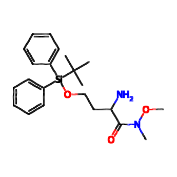 CON(C)C(=O)C(N)CCO[Si](c1ccccc1)(c1ccccc1)C(C)(C)C